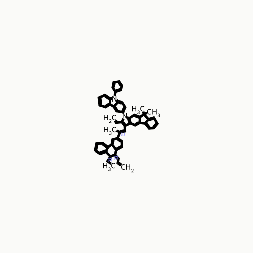 C=C/C=c1\c(=C/C)c2ccccc2c2cc(/C(C)=C/c3c(C=C)n(-c4ccc5c(c4)c4ccccc4n5-c4ccccc4)c4cc5c(cc34)-c3ccccc3C5(C)C)ccc12